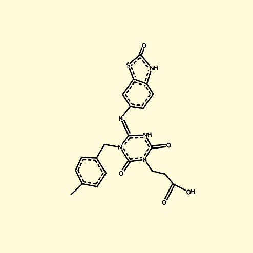 Cc1ccc(Cn2c(=O)n(CCC(=O)O)c(=O)[nH]/c2=N\c2ccc3[nH]c(=O)sc3c2)cc1